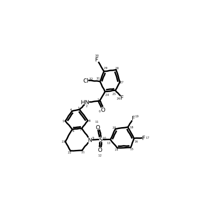 O=C(Nc1ccc2c(c1)N(S(=O)(=O)c1ccc(F)c(F)c1)CCC2)c1c(F)ccc(F)c1Cl